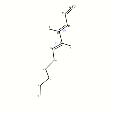 CCCCC/C=C(C)/C(C)=C/C=O